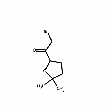 CC1(C)CCC(C(=O)CBr)O1